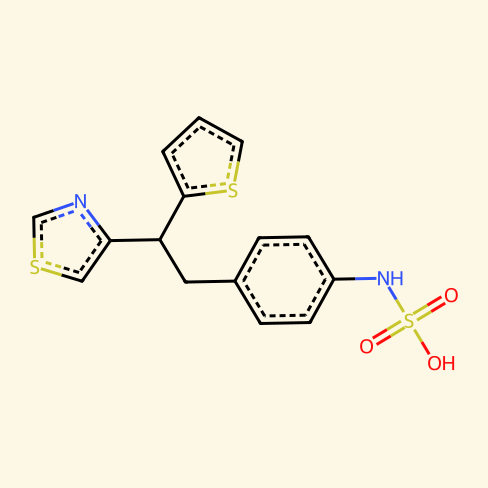 O=S(=O)(O)Nc1ccc(CC(c2cscn2)c2cccs2)cc1